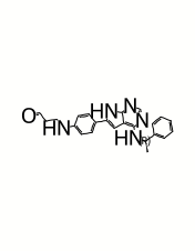 C[C@@H](Nc1ncnc2[nH]c(-c3ccc(NCCC=O)cc3)cc12)c1ccccc1